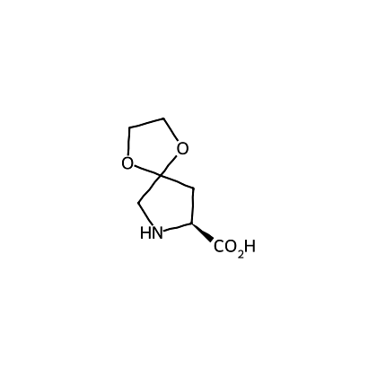 O=C(O)[C@@H]1CC2(CN1)OCCO2